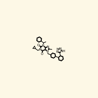 Cc1nc2c(c(=O)n(CC3CC3)c(=O)n2C(C)c2ccccc2)n1Cc1ccc(-c2ccccc2-c2nnn[nH]2)cc1